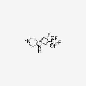 CN1CCc2[nH]c3cc(S(=O)(=O)C(F)(F)F)c(F)cc3c2CC1